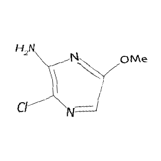 COc1cnc(Cl)c(N)n1